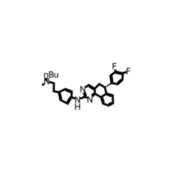 CCCCN(C)CCc1ccc(Nc2ncc3c(n2)-c2ccccc2[C@H](c2ccc(F)c(F)c2)C3)cc1